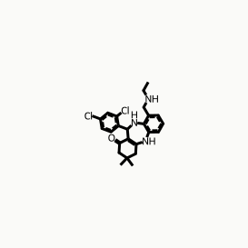 CCNCc1cccc2c1NC(c1ccc(Cl)cc1Cl)C1=C(CC(C)(C)CC1=O)N2